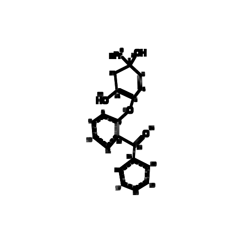 CCCC1(O)C=CC(Oc2ccccc2C(=O)c2ccccc2)=C(O)C1